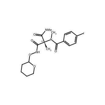 CNC(=O)[C@@](C)(C(=O)NOC1CCCCO1)N(C)C(=O)c1ccc(I)cc1